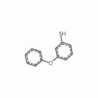 Sc1cccc(Oc2[c]cccc2)c1